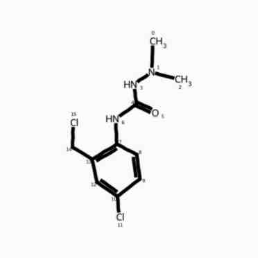 CN(C)NC(=O)Nc1ccc(Cl)cc1CCl